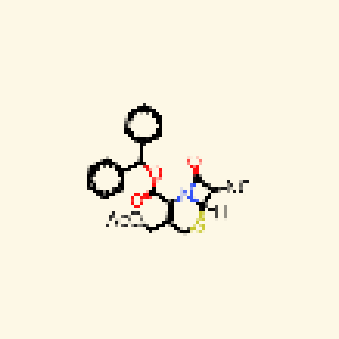 [C-]#[N+]C1C(=O)N2C(C(=O)OC(c3ccccc3)c3ccccc3)=C(COC(C)=O)CS[C@@H]12